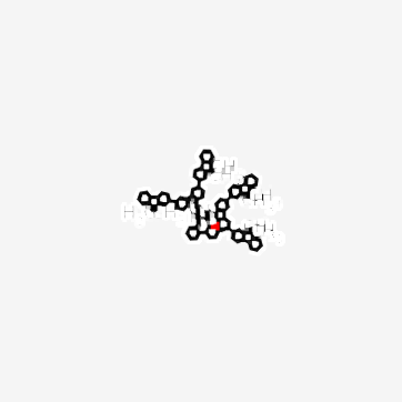 CC1(C)c2ccccc2-c2ccc(-c3ccc4c(c3)c3cc(-c5ccc6c(c5)C(C)(C)c5ccccc5-6)ccc3n4-c3nc(-c4ccccc4-c4ccccc4)nc(-n4c5ccc(-c6ccc7c(c6)C(C)(C)c6ccccc6-7)cc5c5cc(-c6ccc7c(c6)C(C)(C)c6ccccc6-7)ccc54)n3)cc21